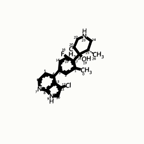 Cc1cc(-c2ccnc3[nH]cc(Cl)c23)cc(F)c1C1(O)[C@H](C)CNC[C@@H]1C